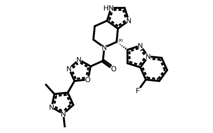 Cc1nn(C)cc1-c1nnc(C(=O)N2CCc3[nH]cnc3[C@@H]2c2cc3c(F)cccn3n2)o1